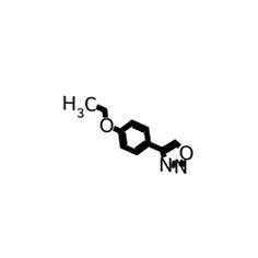 CCOc1ccc(-c2conn2)cc1